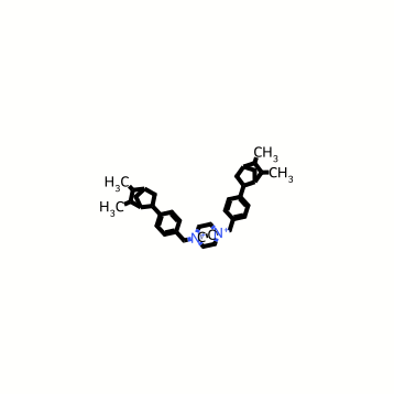 CC1C2CC(c3ccc(C[N+]45CC[N+](Cc6ccc(C7CC8CC7C(C)C8C)cc6)(CC4)CC5)cc3)C(C2)C1C